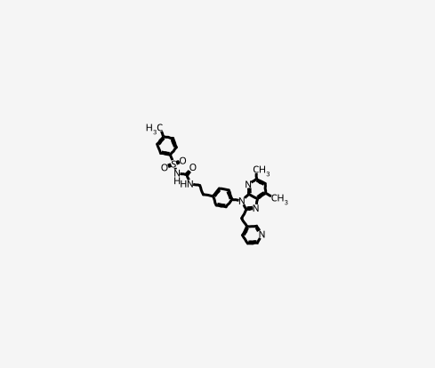 Cc1ccc(S(=O)(=O)NC(=O)NCCc2ccc(-n3c(Cc4cccnc4)nc4c(C)cc(C)nc43)cc2)cc1